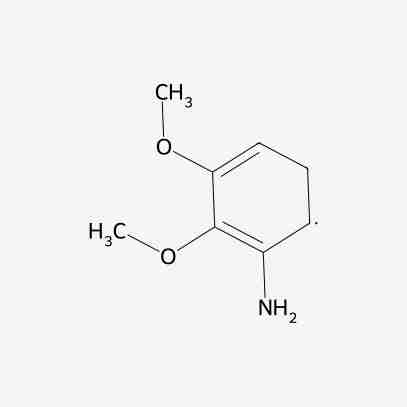 COC1=CC[CH]C(N)=C1OC